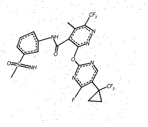 Cc1c(C(F)(F)F)nnc(Oc2ncc(C3(C(F)(F)F)CC3)c(F)n2)c1C(=O)Nc1cccc(S(C)(=N)=O)c1